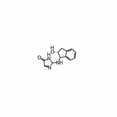 O=C1C=NC(N[C@@H]2c3ccccc3C[C@H]2O)N1